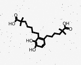 CC(C)(CCCCCc1c(CCCCC(C)(C)C(=O)O)ccc(O)c1O)C(=O)O